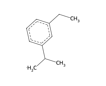 [CH2]C(C)c1cccc(CC)c1